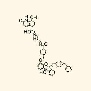 O=C(NCCCNC[C@H](O)c1ccc(O)c2[nH]c(=O)ccc12)c1ccc(COc2cccc([C@](O)(C(=O)OCC3CCN(Cc4ccccc4)CC3)c3ccccc3)c2)cc1